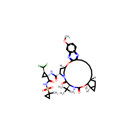 COc1ccc2nc3c(nc2c1)O[C@@H]1C[C@@H](C(=O)N[C@]2(C(=O)NS(=O)(=O)C4(C)CC4)C[C@H]2C(F)F)N(C1)C(=O)[C@H](C(C)(C)C)NC(=O)O[C@H]1[C@H](CCCCC3)CC2C[C@H]21